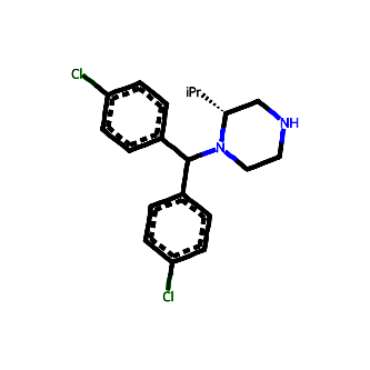 CC(C)[C@@H]1CNCCN1C(c1ccc(Cl)cc1)c1ccc(Cl)cc1